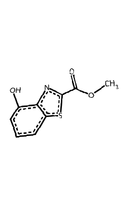 COC(=O)c1nc2c(O)cccc2s1